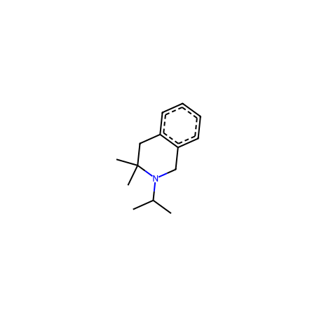 CC(C)N1Cc2ccccc2CC1(C)C